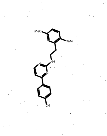 COc1ccc(OC)c(CCNc2nccc(-c3ccc(C#N)cc3)n2)c1